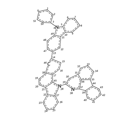 c1ccc(-n2c3ccccc3c3cc(-c4ccc5c(ccc6c7ccccc7n(-c7cc8cccc9c8c(n7)-c7ccccc7-9)c56)c4)ccc32)cc1